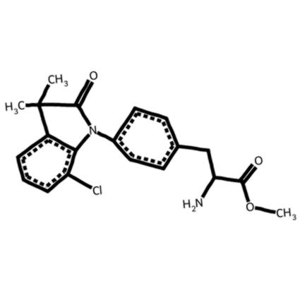 COC(=O)C(N)Cc1ccc(N2C(=O)C(C)(C)c3cccc(Cl)c32)cc1